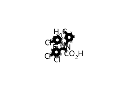 Cc1cccc(-c2nc(C(=O)O)c(-c3ccc(Cl)c(Cl)c3)n2-c2cccc(Cl)c2F)c1